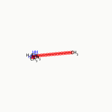 CCCCC(=O)N[C@H](C(=O)N[C@@H](CCCCNC(=O)CCOCCOCCOCCOCCOCCOCCOCCOCCOCCOCCOCCOCCOCCOCCOCCOCCOCCOCCOCCOCCOCCOCCOCCOC)C(C)=O)C(C)C